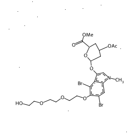 COC(=O)C1CC(OC(C)=O)CC(Oc2cn(C)c3cc(Br)c(OCCOCCOCCO)c(Br)c23)O1